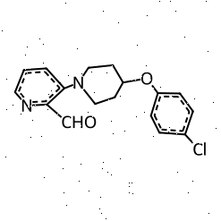 O=Cc1ncccc1N1CCC(Oc2ccc(Cl)cc2)CC1